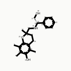 Cc1c(C)c2c(c(C)c1O)CCC(C)(CN[C@H](CO)c1ccccc1)O2